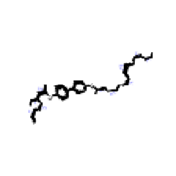 C/C=C\C=C/C/C=C\C=C/C/C=C\C=C(/C)Sc1ccc(-c2ccc(S\C(C)=C/C(/C=C\C=C/C)=C/C)cc2)cc1